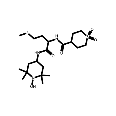 CSCCC(NC(=O)C1CCS(=O)(=O)CC1)C(=O)NC1CC(C)(C)N(O)C(C)(C)C1